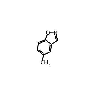 Cc1ccc2on[c]c2c1